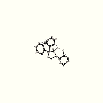 Cc1ccccc1C1CCC(c2ccccc2)(c2ccccc2C)P1C